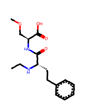 CCN[C@@H](CCc1ccccc1)C(=O)N[C@@H](COC)C(=O)O